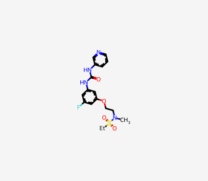 CCS(=O)(=O)N(C)CCOc1cc(F)cc(NC(=O)Nc2cccnc2)c1